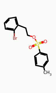 Cc1ccc(S(=O)(=O)OCCc2ccccc2Br)cc1